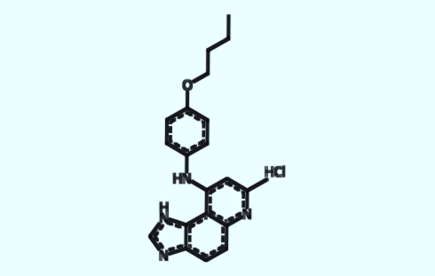 CCCCOc1ccc(Nc2cc(C)nc3ccc4nc[nH]c4c23)cc1.Cl